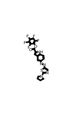 O=C(Oc1c(F)c(F)c(F)c(F)c1F)c1cc2cc(/N=N/c3cnc(N4CCCC4)s3)ccc2[nH]1